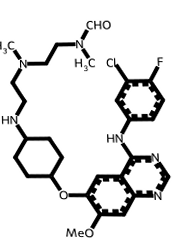 COc1cc2ncnc(Nc3ccc(F)c(Cl)c3)c2cc1OC1CCC(NCCN(C)CCN(C)C=O)CC1